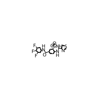 O=C(Nc1cc(F)c(F)c(F)c1)c1ccc2c(c1)S(=O)(=O)NC(c1cscn1)N2